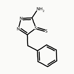 NC1=NN=C(Cc2ccccc2)S1=S